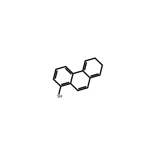 Sc1cccc2c3c(ccc12)=CCCC=3